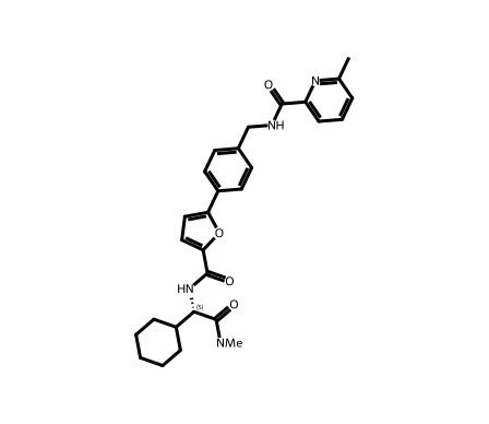 CNC(=O)[C@@H](NC(=O)c1ccc(-c2ccc(CNC(=O)c3cccc(C)n3)cc2)o1)C1CCCCC1